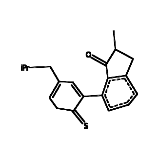 CC(C)CC1=CCC(=S)C(c2cccc3c2C(=O)C(C)C3)=C1